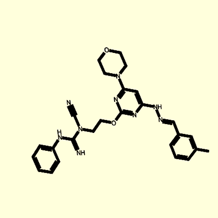 Cc1cccc(/C=N/Nc2cc(N3CCOCC3)nc(OCCN(C#N)C(=N)Nc3ccccc3)n2)c1